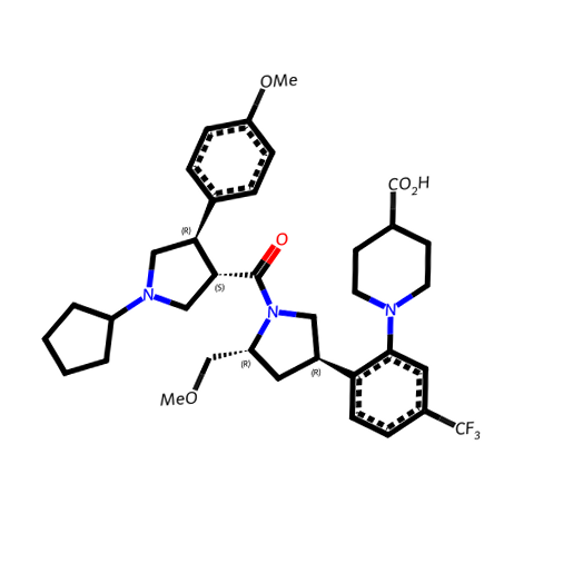 COC[C@H]1C[C@H](c2ccc(C(F)(F)F)cc2N2CCC(C(=O)O)CC2)CN1C(=O)[C@@H]1CN(C2CCCC2)C[C@H]1c1ccc(OC)cc1